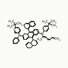 C=C/C=C\C=C(/C)N(c1ccc2c(c1)=C(C1C=CCC3CCC=CC31)C1=CC=C(N(c3ccccc3)c3ccc(C(C)(C)C)cc3)CC1C=2C1=c2ccccc2=CCC1)C1C=CC(C(C)(C)C)=CC1